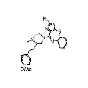 COc1ccc(CCC2CN(C3=Nc4ccccc4Sc4sc(C(C)C)nc43)CCN2C)cc1